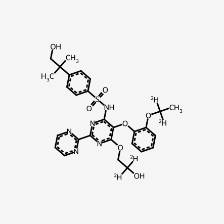 [2H]C([2H])(O)COc1nc(-c2ncccn2)nc(NS(=O)(=O)c2ccc(C(C)(C)CO)cc2)c1Oc1ccccc1OC([2H])([2H])C